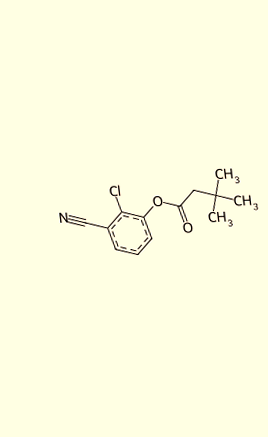 CC(C)(C)CC(=O)Oc1cccc(C#N)c1Cl